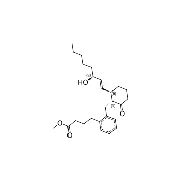 CCCCC[C@H](O)/C=C/[C@H]1CCCC(=O)[C@@H]1Cc1ccccc1CCCC(=O)OC